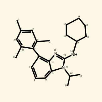 Cc1cc(C)c(-c2cccc3c2nc(NC2CCCCC2)n3C(C)C)c(C)c1